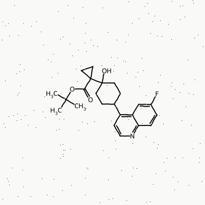 CC(C)(C)OC(=O)C1(C2(O)CCC(c3ccnc4ccc(F)cc34)CC2)CC1